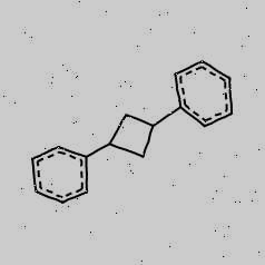 c1ccc(C2CC(c3ccccc3)C2)cc1